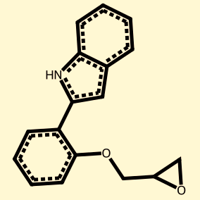 c1ccc(-c2cc3ccccc3[nH]2)c(OCC2CO2)c1